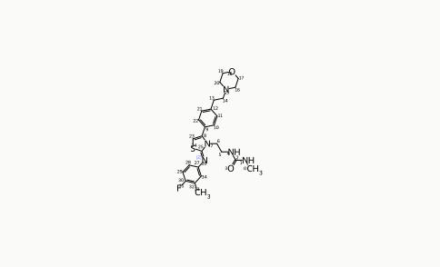 CNC(=O)NCCn1c(-c2ccc(CCN3CCOCC3)cc2)cs/c1=N\c1ccc(F)c(C)c1